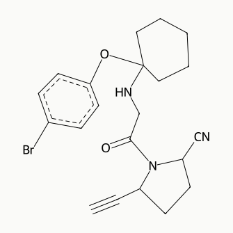 C#CC1CCC(C#N)N1C(=O)CNC1(Oc2ccc(Br)cc2)CCCCC1